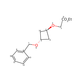 CCOC(=O)CO[C@H]1C[C@H](OCc2ccccc2)C1